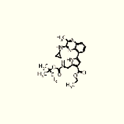 CCOC(=O)c1cc(-c2cccc3nc(C)c(NC4CC4)nc23)[nH]c1CNC(=O)OC(C)(C)C